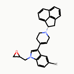 [C-]#[N+]c1ccc2c(c1)c(C1=CCN([C@H]3Cc4cccc5cccc3c45)CC1)cn2CC1CO1